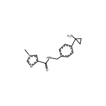 Cn1cnc(C(=O)NCc2ccc(C3(N)CC3)cc2)c1